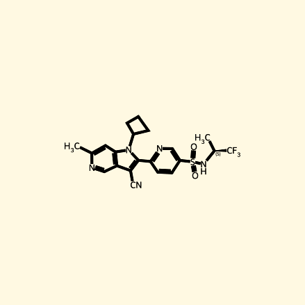 Cc1cc2c(cn1)c(C#N)c(-c1ccc(S(=O)(=O)N[C@@H](C)C(F)(F)F)cn1)n2C1CCC1